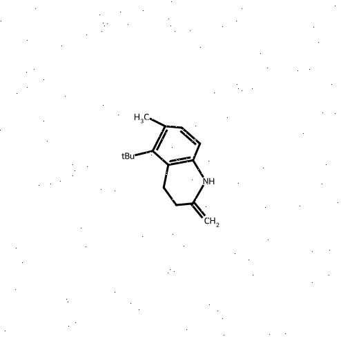 C=C1CCc2c(ccc(C)c2C(C)(C)C)N1